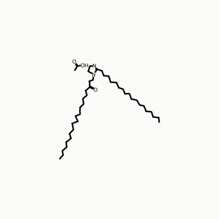 CC(=O)O.CCCCCCCCCCCCCCCCCCC1=NCCN1CCC(=O)CCCCCCCCCCCCCCCCC